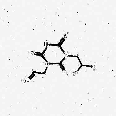 C=CCn1c(=O)[nH]c(=O)n(CC(O)CC)c1=O